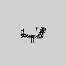 O=S(=O)(Oc1ccc2c(c1)CN(CCCCNOC=CCc1ccc3[nH]ccc3c1)CC2)C(F)(F)F